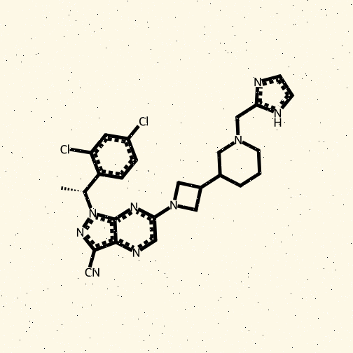 C[C@H](c1ccc(Cl)cc1Cl)n1nc(C#N)c2ncc(N3CC(C4CCCN(Cc5ncc[nH]5)C4)C3)nc21